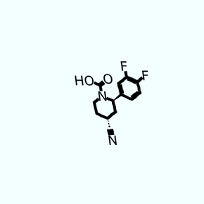 N#C[C@@H]1CCN(C(=O)O)[C@@H](c2ccc(F)c(F)c2)C1